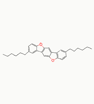 CCCCCCc1ccc2oc3cc4c(cc3c2c1)oc1ccc(CCCCCC)cc14